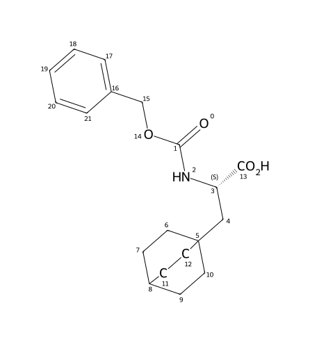 O=C(N[C@@H](CC12CCC(CC1)CC2)C(=O)O)OCc1ccccc1